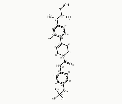 Cc1cc([C@H](O)[C@@H](O)CO)cnc1C1=CCN(C(=O)Nc2ccc(OC(F)(F)F)cn2)CC1